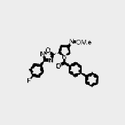 CON=C1C[C@@H](c2nc(-c3ccc(F)cc3)no2)N(C(=O)c2ccc(-c3ccccc3)cc2)C1